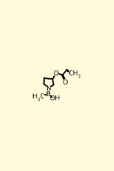 C=CC(=O)OC1CCN(B(C)O)C1